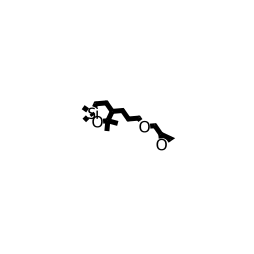 CC1(C)O[Si](C)(C)CCC1CCCOCC1CO1